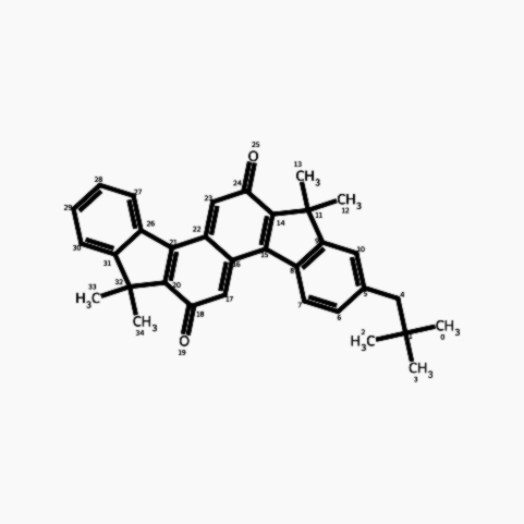 CC(C)(C)Cc1ccc2c(c1)C(C)(C)C1=C2C2=CC(=O)C3=C(C2=CC1=O)c1ccccc1C3(C)C